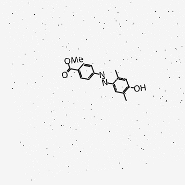 COC(=O)c1ccc(N=Nc2cc(C)c(O)cc2C)cc1